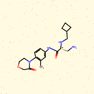 NC[C@@H](NCC1CCC1)C(=O)Nc1ccc(N2CCOCC2=O)c(C(F)(F)F)c1